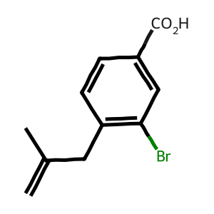 C=C(C)Cc1ccc(C(=O)O)cc1Br